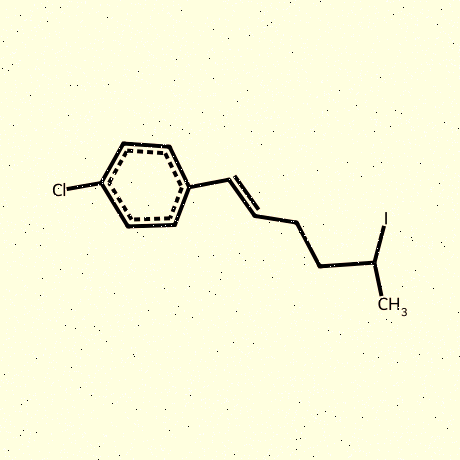 CC(I)CCC=Cc1ccc(Cl)cc1